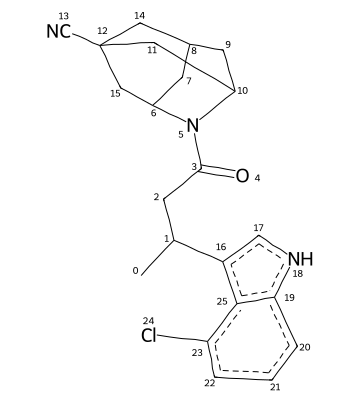 CC(CC(=O)N1C2CC3CC1CC(C#N)(C3)C2)c1c[nH]c2cccc(Cl)c12